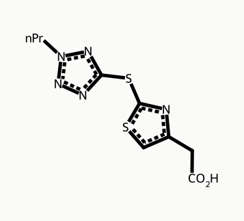 CCCn1nnc(Sc2nc(CC(=O)O)cs2)n1